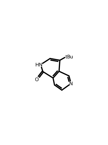 CC(C)(C)c1c[nH]c(=O)c2ccncc12